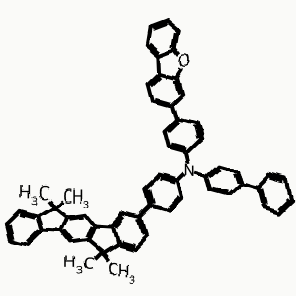 CC1(C)c2ccccc2-c2cc3c(cc21)-c1cc(-c2ccc(N(c4ccc(-c5ccccc5)cc4)c4ccc(-c5ccc6c(c5)oc5ccccc56)cc4)cc2)ccc1C3(C)C